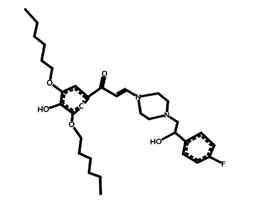 CCCCCCOc1cc(C(=O)C=CN2CCN(CC(O)c3ccc(F)cc3)CC2)cc(OCCCCCC)c1O